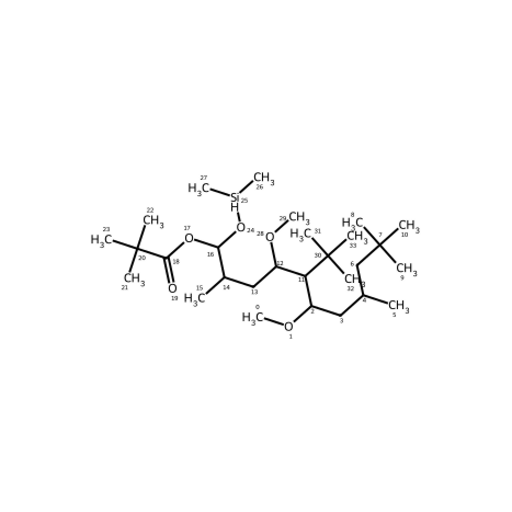 COC(CC(C)CC(C)(C)C)C(C(CC(C)C(OC(=O)C(C)(C)C)O[SiH](C)C)OC)C(C)(C)C